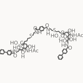 CC(=O)N[C@H]1[C@H]([C@H](O)[C@H](O)CNC(=O)c2ccc(-c3ccccc3)cc2)O[C@@](CCCCSCCNC(=O)c2ccc(C(=O)NCCSCCCO[C@]3(C(=O)O)C[C@H](O)[C@@H](NC(C)=O)[C@H]([C@H](O)[C@H](O)CNC(=O)c4ccc(-c5ccccc5)cc4)O3)cc2)(C(=O)O)C[C@@H]1O